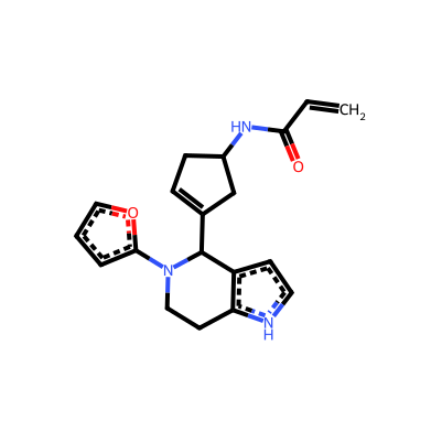 C=CC(=O)NC1CC=C(C2c3cc[nH]c3CCN2c2ccco2)C1